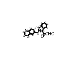 O=CC(=O)C1c2ccccc2CN1Cc1ccc2ncccc2c1